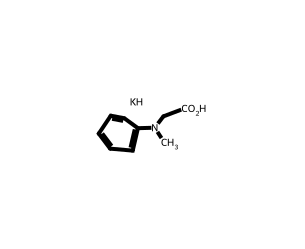 CN(CC(=O)O)c1ccccc1.[KH]